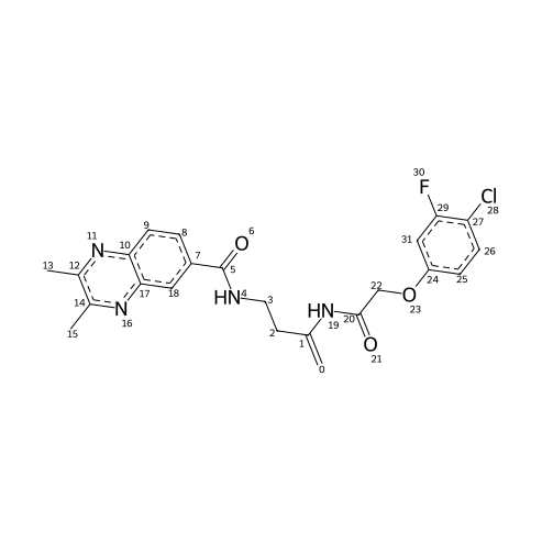 C=C(CCNC(=O)c1ccc2nc(C)c(C)nc2c1)NC(=O)COc1ccc(Cl)c(F)c1